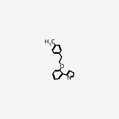 Cc1ccc(CCOc2ccccc2C2=CCC=N2)cc1